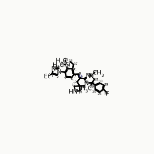 CCc1cn(-c2ccc(/C=C3\CC4(CNC4)CN4C3=NN(C)CC4(C)c3ccc(F)cc3)c3c2[Si](C)(C)CC3)cn1